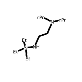 CCCN(CCC)CCN[Si](CC)(CC)CC